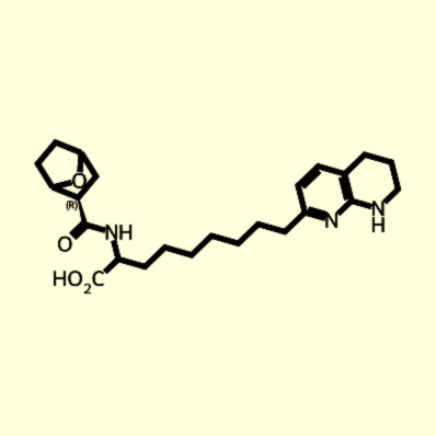 O=C(O)C(CCCCCCCc1ccc2c(n1)NCCC2)NC(=O)[C@@H]1CC2CCC1O2